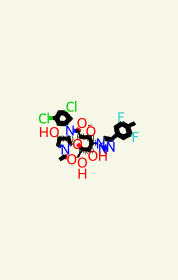 CO[C@@H]1[C@@H](n2cc(-c3cc(F)c(C)c(F)c3)nn2)[C@@H](O)[C@@H](CO)O[C@H]1C(=O)N(c1cc(Cl)cc(Cl)c1)[C@H]1CN(C(C)=O)C[C@@H]1O